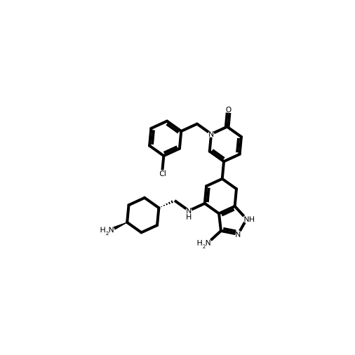 Nc1n[nH]c2c1C(NC[C@H]1CC[C@H](N)CC1)=CC(c1ccc(=O)n(Cc3cccc(Cl)c3)c1)C2